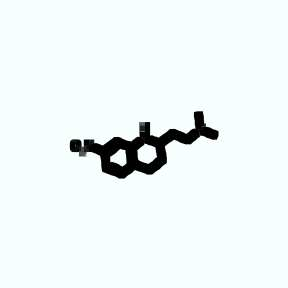 CN(C)CCC1CCc2ccc([N+](=O)[O-])cc2N1